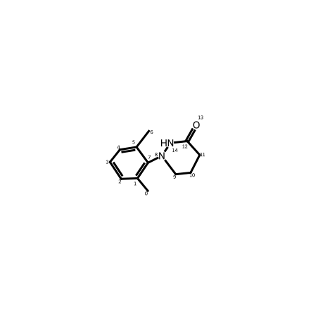 Cc1cccc(C)c1N1CCCC(=O)N1